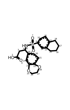 O=C(O)CC(NS(=O)(=O)c1ccc2c(c1)CCCC2)c1ccc2c(c1)OCCO2